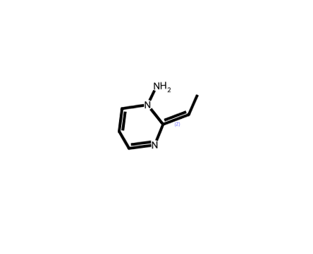 C/C=C1/N=CC=CN1N